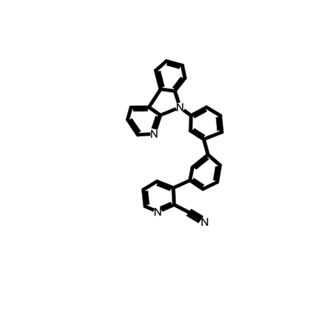 N#Cc1ncccc1-c1cccc(-c2cccc(-n3c4ccccc4c4cccnc43)c2)c1